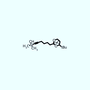 CC(C)(C)C1OC2(CCCCC#C[Si](C)(C)C)OCC1CO2